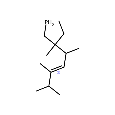 CCC(C)(CP)C(C)/C=C(\C)C(C)C